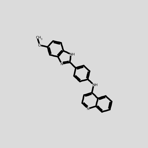 COc1ccc2[nH]c(-c3ccc(Nc4ccnc5ccccc45)cc3)nc2c1